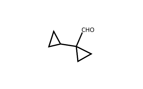 O=CC1(C2CC2)CC1